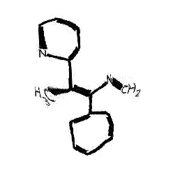 C=N/C(=C(/C)c1ccccn1)c1ccccc1